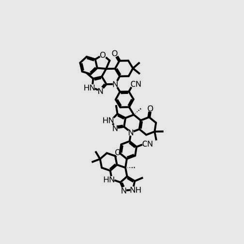 Cc1[nH]nc2c1C1(COc3ccccc31)C1=C(CC(C)(C)CC1=O)N2c1ccc([C@@]2(C)C3=C(CC(C)(C)CC3=O)N(c3ccc([C@]4(C)C5=C(CC(C)(C)CC5=O)Nc5n[nH]c(C)c54)cc3C#N)c3n[nH]c(C)c32)cc1C#N